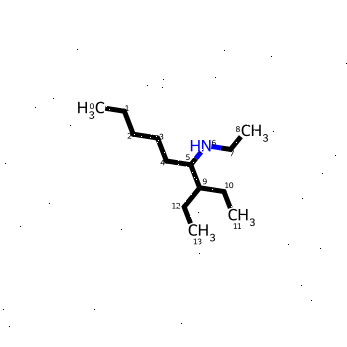 CCCCCC(NCC)C(CC)CC